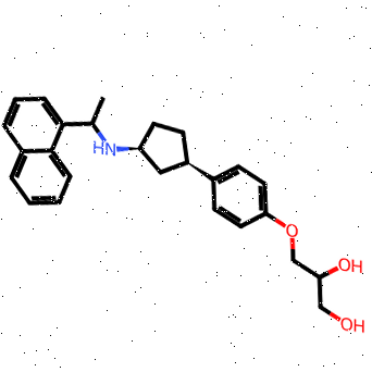 CC(N[C@H]1CC[C@@H](c2ccc(OCC(O)CO)cc2)C1)c1cccc2ccccc12